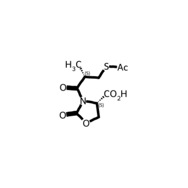 CC(=O)SC[C@@H](C)C(=O)N1C(=O)OC[C@H]1C(=O)O